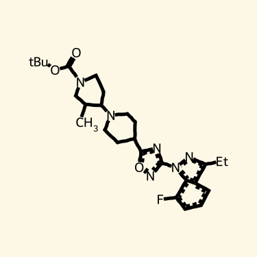 CCc1nn(-c2noc(C3CCN(C4CCN(C(=O)OC(C)(C)C)CC4C)CC3)n2)c2c(F)cccc12